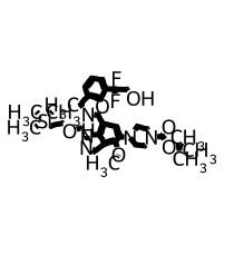 COc1c(N2CCN(C(=O)OC(C)(C)C)CC2)cc(C(=O)N[C@@H](C)c2cccc(C(F)(F)CO)c2)c2c1cnn2COCC[Si](C)(C)C